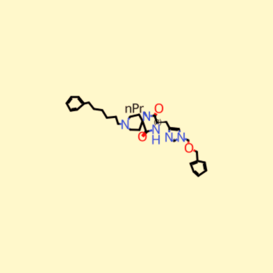 CCCN1C(=O)[C@@H](Cc2cn(COCc3ccccc3)cn2)NC(=O)C12CCN(CCCCCCc1ccccc1)CC2